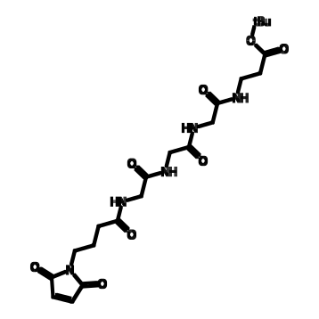 CC(C)(C)OC(=O)CCNC(=O)CNC(=O)CNC(=O)CNC(=O)CCCN1C(=O)C=CC1=O